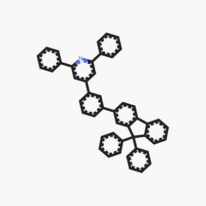 c1ccc(-c2cc(-c3cccc(-c4ccc5c(c4)C(c4ccccc4)(c4ccccc4)c4ccccc4-5)c3)cc(-c3ccccc3)n2)cc1